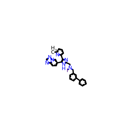 Cc1cccc(-c2nc(CN(I)Cc3cccc(-c4ccccc4)c3)[nH]c2-c2ccc3ncnn3c2)n1